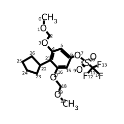 COCOc1cc(OS(=O)(=O)C(F)(F)F)cc(OCOC)c1C1CCCC1